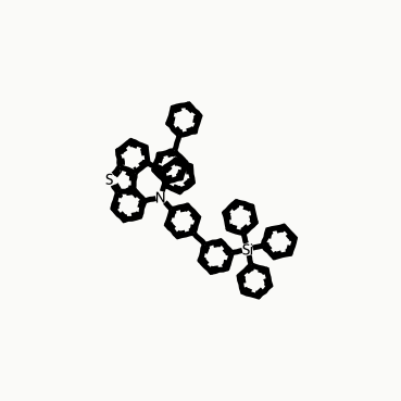 c1ccc(-c2ccc(N(c3ccc(-c4cccc([Si](c5ccccc5)(c5ccccc5)c5ccccc5)c4)cc3)c3cccc4sc5cccc(-c6ccccc6)c5c34)cc2)cc1